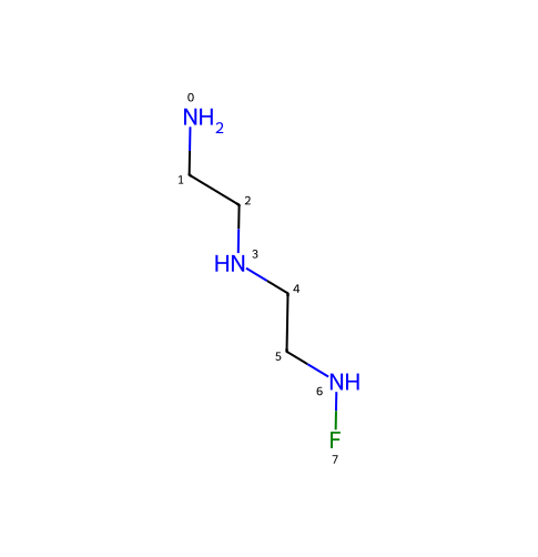 NCCNCCNF